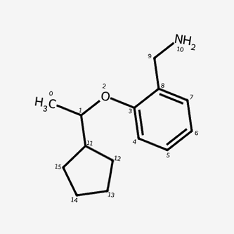 CC(Oc1ccccc1CN)C1CCCC1